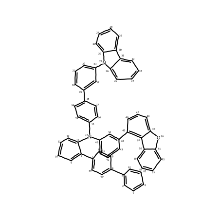 c1ccc(-c2ccc(-c3ccccc3N(c3ccc(-c4cccc(-n5c6ccccc6c6ccccc65)c4)cc3)c3cccc(-c4cccc5oc6ccccc6c45)c3)cc2)cc1